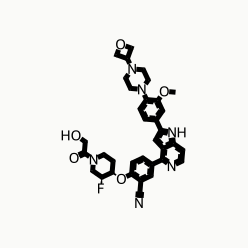 COc1cc(-c2cc3c(-c4ccc(O[C@H]5CCN(C(=O)CO)C[C@H]5F)c(C#N)c4)nccc3[nH]2)ccc1N1CCN(C2COC2)CC1